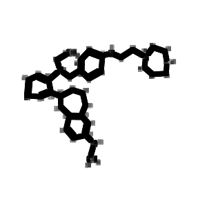 CCN(Cc1ccc(OCCN2CCCCCC2)cc1)c1ccccc1C1CCCc2cc(OC)ccc2C1